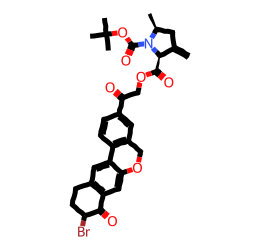 C=C1C[C@H](C)N(C(=O)OC(C)(C)C)[C@@H]1C(=O)OCC(=O)c1ccc2c(c1)COc1cc3c(cc1-2)CCC(Br)C3=O